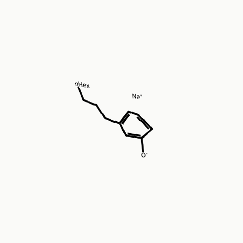 CCCCCCCCCc1cccc([O-])c1.[Na+]